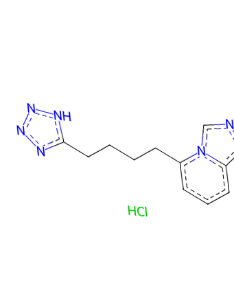 Cl.c1cc(CCCCc2nnn[nH]2)n2cncc2c1